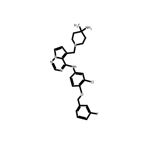 CC1(N)CCN(Cc2ccn3ncnc(Nc4ccc(OCc5cccc(F)c5)c(Cl)c4)c23)CC1